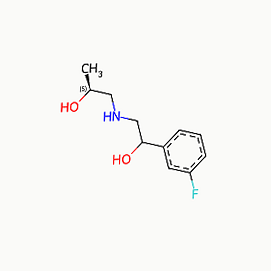 C[C@H](O)CNCC(O)c1cccc(F)c1